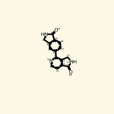 O=C1NCc2cc(-c3nccc4c3CNC4=O)ccc21